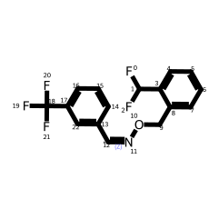 FC(F)c1ccccc1CO/N=[C]\c1cccc(C(F)(F)F)c1